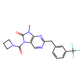 Cn1c(=O)n(C(=O)N2CCC2)c2cnc(Cc3cccc(C(F)(F)F)c3)nc21